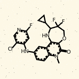 Cn1c(=O)c2c(c3cc(Nc4cc(F)ncc4Cl)ccc31)NC(C1CC1)C(F)(F)CO2